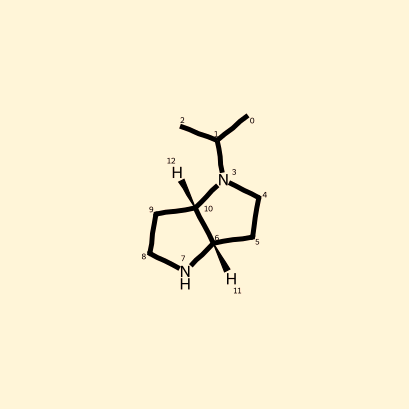 CC(C)N1CC[C@@H]2NCC[C@@H]21